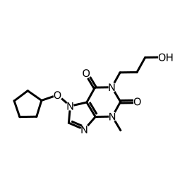 Cn1c(=O)n(CCCO)c(=O)c2c1ncn2OC1CCCC1